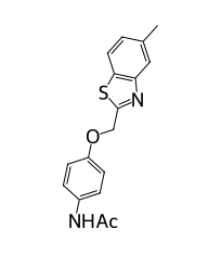 CC(=O)Nc1ccc(OCc2nc3cc(C)ccc3s2)cc1